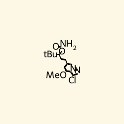 COc1cc(/C=C/C(OC(N)=O)C(C)(C)C)cn2ncc(Cl)c12